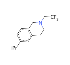 CC(C)c1ccc2c(c1)CCN(CC(F)(F)F)C2